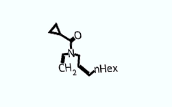 C=CN(C/C=C\CCCCCC)C(=O)C1CC1